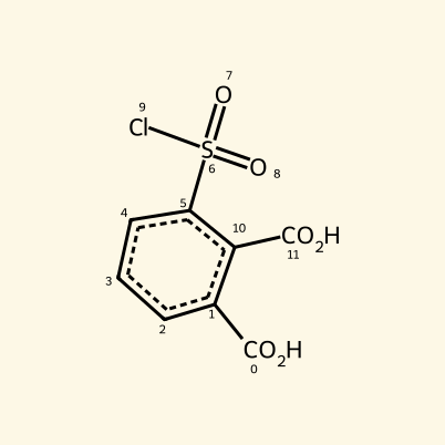 O=C(O)c1cccc(S(=O)(=O)Cl)c1C(=O)O